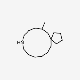 CC1CCCNCCCCCCC2(CCCC2)C1